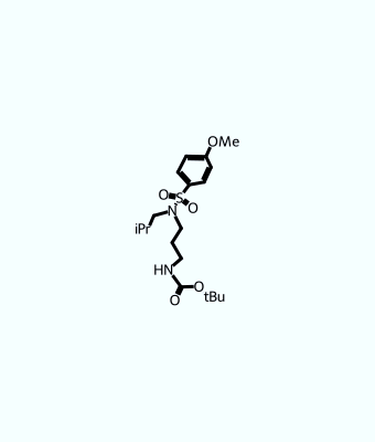 COc1ccc(S(=O)(=O)N(CCCNC(=O)OC(C)(C)C)CC(C)C)cc1